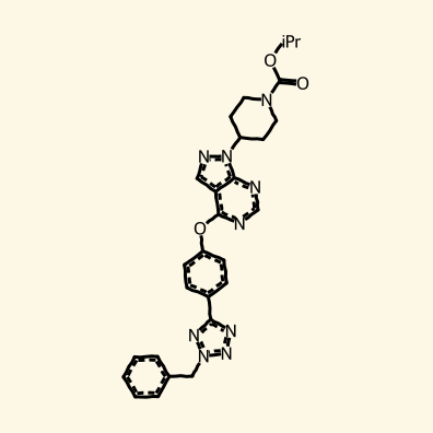 CC(C)OC(=O)N1CCC(n2ncc3c(Oc4ccc(-c5nnn(Cc6ccccc6)n5)cc4)ncnc32)CC1